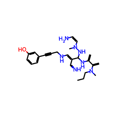 C=C(NC(NN(C)/C=C\N)/C(C=N)=C/NCC#Cc1cccc(O)c1)C(=C)N(C)CCC